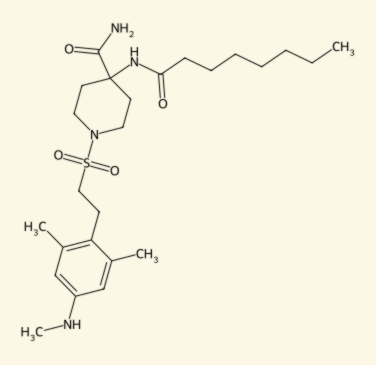 CCCCCCCC(=O)NC1(C(N)=O)CCN(S(=O)(=O)CCc2c(C)cc(NC)cc2C)CC1